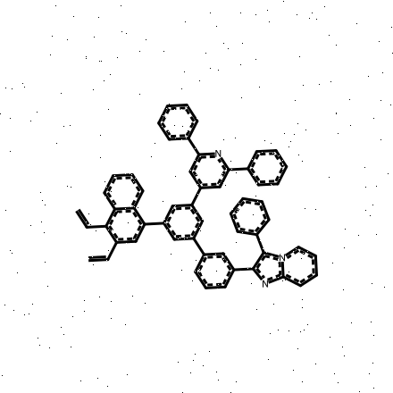 C=Cc1cc(-c2cc(-c3cccc(-c4nc5ccccn5c4-c4ccccc4)c3)cc(-c3cc(-c4ccccc4)nc(-c4ccccc4)c3)c2)c2ccccc2c1C=C